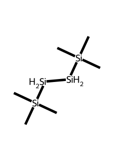 C[Si](C)(C)[SiH2][SiH2][Si](C)(C)C